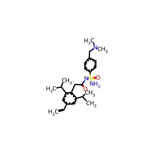 C=Cc1cc(C(C)C)c(CC(=O)N=S(N)(=O)c2ccc(CN(C)C)cc2)c(C(C)C)c1